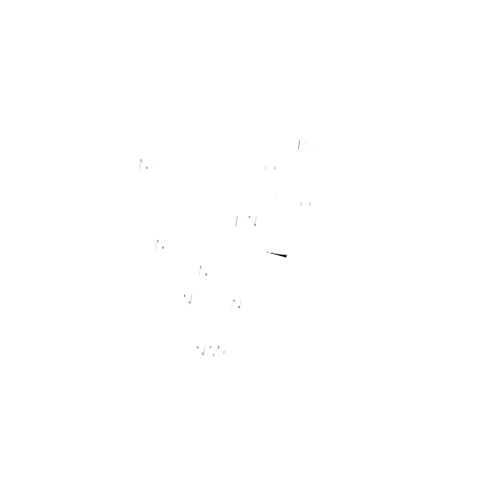 CNc1nc([C@H](C)NC(=O)OC(C)(C)C)n(-c2ccc(C#N)cn2)n1